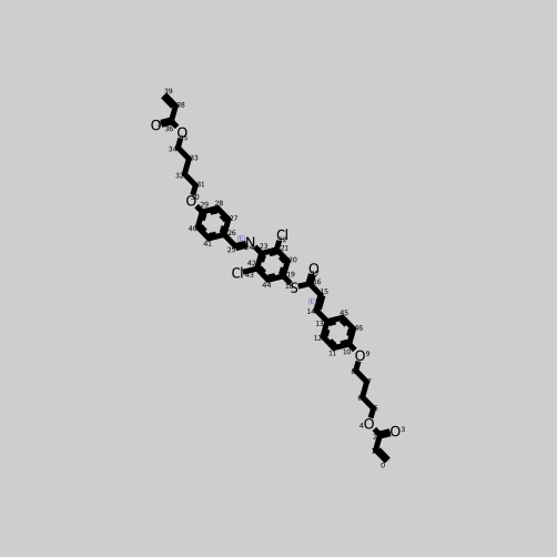 C=CC(=O)OCCCCOc1ccc(/C=C/C(=O)Sc2cc(Cl)c(/N=C/c3ccc(OCCCCOC(=O)C=C)cc3)c(Cl)c2)cc1